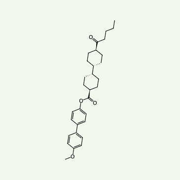 CCCCC(=O)[C@H]1CC[C@H]([C@H]2CC[C@H](C(=O)Oc3ccc(-c4ccc(OC)cc4)cc3)CC2)CC1